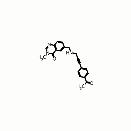 CC(=O)c1ccc(C#CCNCc2ccc3ncn(C)c(=O)c3c2)cc1